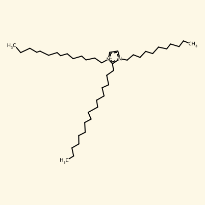 CCCCCCCCCCCCCCCCc1n(CCCCCCCCCCC)cc[n+]1CCCCCCCCCCCCCC